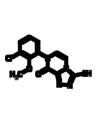 COc1c(Cl)cccc1-n1ccn2c(S)nnc2c1=O